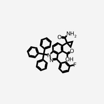 NC(=O)C1(c2ccc3c(c(-c4cccc(F)c4)nn3C(c3ccccc3)(c3ccccc3)c3ccccc3)c2C(=O)O)CC1